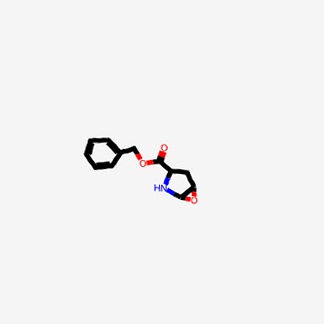 O=C(OCc1ccccc1)C1CC2OC2N1